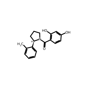 Cc1ccccc1[C@H]1CCCN1C(=O)c1ccc(O)cc1O